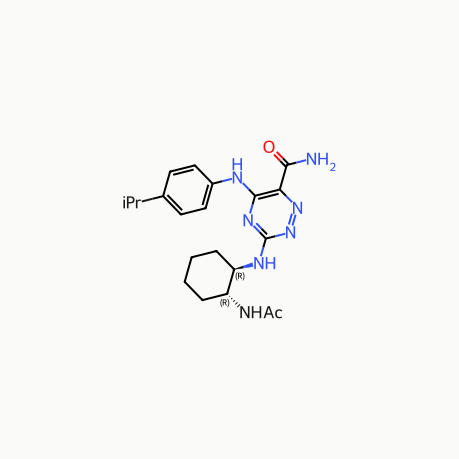 CC(=O)N[C@@H]1CCCC[C@H]1Nc1nnc(C(N)=O)c(Nc2ccc(C(C)C)cc2)n1